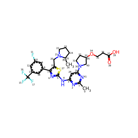 Cc1nc(Nc2nc(-c3cc(F)cc(C(F)(F)F)c3)c(CN3CCC[C@H]3C)s2)cc(N2CC[C@@H](OCCC(=O)O)C2)n1